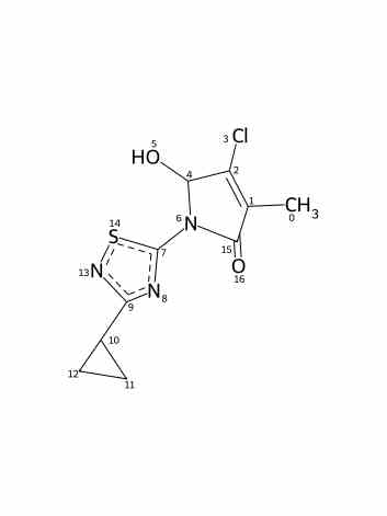 CC1=C(Cl)C(O)N(c2nc(C3CC3)ns2)C1=O